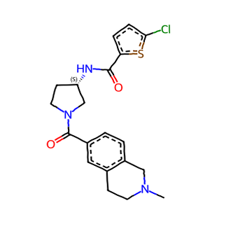 CN1CCc2cc(C(=O)N3CC[C@H](NC(=O)c4ccc(Cl)s4)C3)ccc2C1